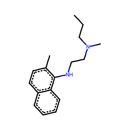 CCCN(C)CCNc1c(C)ccc2ccccc12